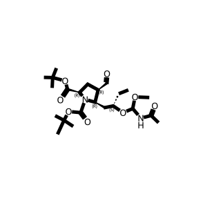 CC[C@@H](C[C@@H]1[C@H](C=O)C[C@H](C(=O)OC(C)(C)C)N1C(=O)OC(C)(C)C)OC(NC(C)=O)OC